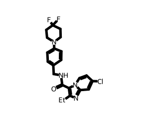 CCc1nc2cc(Cl)ccn2c1C(=O)NCc1ccc(N2CCC(F)(F)CC2)cc1